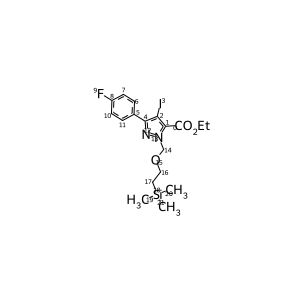 CCOC(=O)c1c(I)c(-c2ccc(F)cc2)nn1COCC[Si](C)(C)C